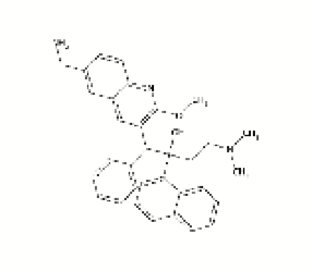 COc1nc2ccc(CN)cc2cc1C(c1ccccc1)C(O)(CCN(C)C)c1cccc2ccccc12